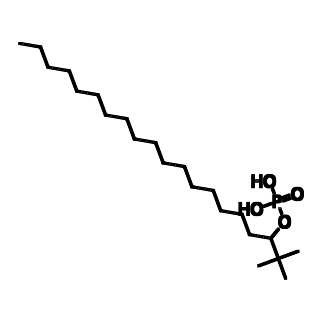 CCCCCCCCCCCCCCCCCC(OP(=O)(O)O)C(C)(C)C